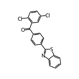 O=C(c1ccc(-c2nc3ccccc3s2)cc1)c1cc(Cl)ccc1Cl